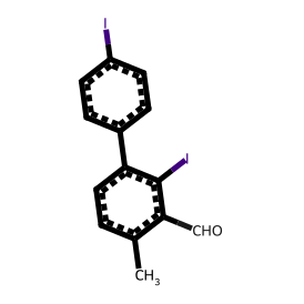 Cc1ccc(-c2ccc(I)cc2)c(I)c1C=O